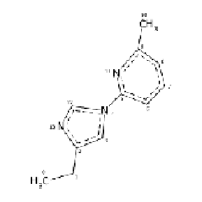 CCc1cn(-c2cccc(C)n2)cn1